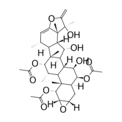 C=C1OC2=C[C@@H](C)[C@H]3[C@@H]([C@H](O)[C@H]4[C@H]5C([C@H](C)[C@H](OC(C)=O)[C@]34C)[C@]3(C)[C@H](C[C@@H]4O[C@@H]4[C@@H]3OC(C)=O)[C@H](OC(C)=O)[C@@H]5O)[C@@]2(C)[C@]1(C)O